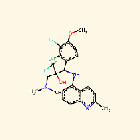 COc1ccc(C(Nc2cccc3nc(C)ccc23)C(O)(CN(C)C)C(F)(F)F)c(Cl)c1F